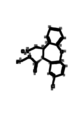 CC(C)OC(=O)[C@H]1c2cc(Cl)ccc2Oc2ccccc2[C@@H]1C[N+](=O)[O-]